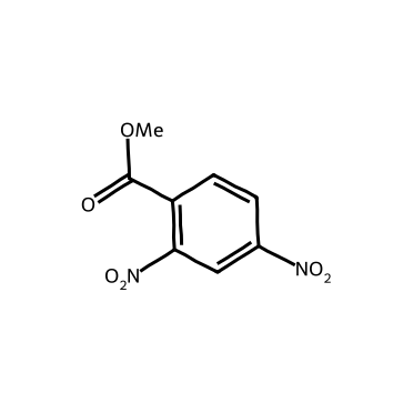 [CH2]OC(=O)c1ccc([N+](=O)[O-])cc1[N+](=O)[O-]